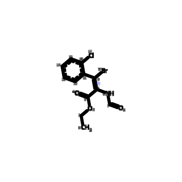 CCOC(=O)/C(NC=O)=C(/Br)c1ccccc1Cl